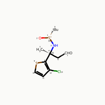 CC(C)(C)[S@@+]([O-])N[C@@](C)(CC=O)c1sccc1Cl